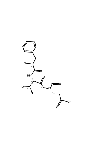 C[C@@H](O)[C@H](NC(=O)[C@@H](N)Cc1ccccc1)C(=O)N[C@H]([C]=O)CCC(=O)O